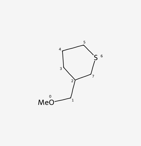 COCC1CCCSC1